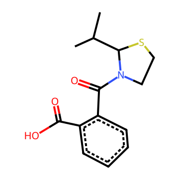 CC(C)C1SCCN1C(=O)c1ccccc1C(=O)O